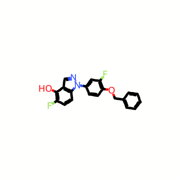 Oc1c(F)ccc2c1cnn2-c1ccc(OCc2ccccc2)c(F)c1